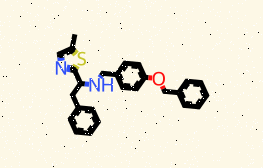 Cc1cnc(C(Cc2ccccc2)NCc2ccc(OCc3ccccc3)cc2)s1